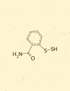 NC(=O)c1ccccc1SS